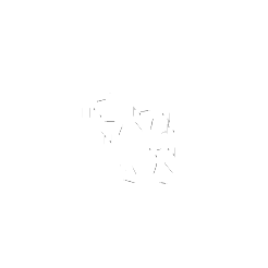 O=C(Nc1cncc(-c2cc3c(-c4nc5c(-c6ccsc6)cccc5[nH]4)n[nH]c3cn2)c1)C1CC1